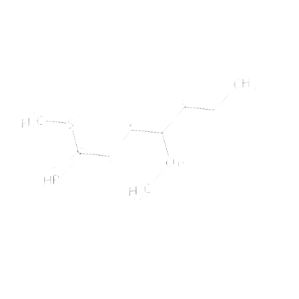 CCCC(CCC(=P)SC)OC